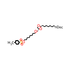 CCCCCCCCCCCCCCCCC[C@@H]1OC[C@@H](COCCCCCCCCOS(=O)(=O)c2ccc(C)cc2)O1